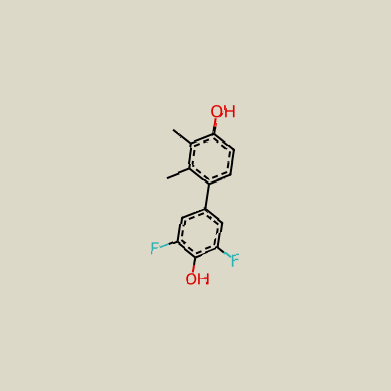 Cc1c(O)ccc(-c2cc(F)c(O)c(F)c2)c1C